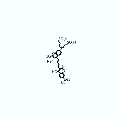 CCN(CC)c1ccc2c(O)c(C=CC=Cc3cc(C(C)(C)C)[o+]c4cc(N(CCCS(=O)(=O)O)CCCS(=O)(=O)O)ccc34)c(=O)oc2c1.[Na+]